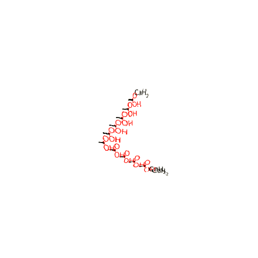 CC(=O)O.CC(=O)O.CC(=O)O.CC(=O)O.CC(=O)O.CC(=O)O.CC(=O)O.CC(=O)O.CC(=O)O.CC(=O)O.[CaH2].[CaH2].[CaH2]